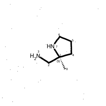 C[C@@]1(CN)CCCN1